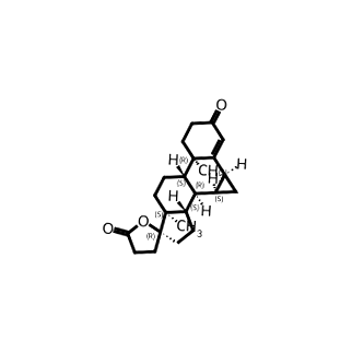 C[C@]12CCC(=O)C=C1[C@H]1C[C@H]1[C@@H]1[C@@H]2CC[C@@]2(C)[C@H]1CC[C@@]21CCC(=O)O1